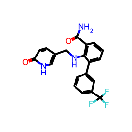 NC(=O)c1cccc(-c2cccc(C(F)(F)F)c2)c1NCc1ccc(=O)[nH]c1